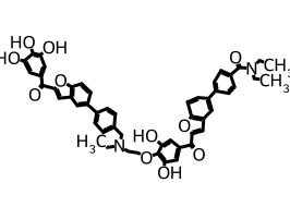 CCN(CCOc1c(O)cc(C(=O)c2cc3cc(-c4ccc(C(=O)N(CC)CC)cc4)ccc3o2)cc1O)Cc1ccc(-c2ccc3oc(C(=O)c4cc(O)c(O)c(O)c4)cc3c2)cc1